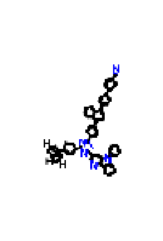 N#Cc1ccc(-c2ccc(-c3ccc(-c4ccc(-c5nc(-c6ccc(C78C[C@H]9C[C@H](C7)C[C@@H](C8)C9)cc6)nc(-c6cnc7c8ccccc8n(-c8ccccc8)c7c6)n5)cc4)c4ccccc34)cc2)cc1